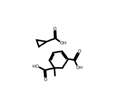 CC1(C(=O)O)C=CC=C(C(=O)O)C1.O=C(O)C1CC1